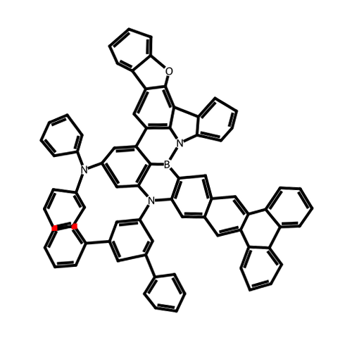 c1ccc(-c2cc(-c3ccccc3)cc(N3c4cc5cc6c7ccccc7c7ccccc7c6cc5cc4B4c5c(cc(N(c6ccccc6)c6ccccc6)cc53)-c3cc5c6ccccc6oc5c5c6ccccc6n4c35)c2)cc1